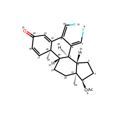 CC(=O)O[C@@H]1CC[C@H]2[C@@H]3C(=CF)C(=CF)C4=CC(=O)C=C[C@]4(C)[C@H]3CC[C@]12C